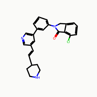 O=C1c2c(Cl)cccc2CN1c1cccc(-c2cncc(C=CC3CCNCC3)c2)c1